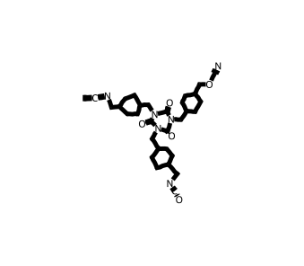 C=C=NCC1CCC(Cn2c(=O)n(CC3CCC(CN=C=O)CC3)c(=O)n(CC3CCC(COC#N)CC3)c2=O)CC1